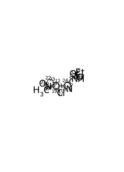 CCS(=O)(=O)NCc1cncc(-c2cc3c(cc2Cl)N(C)C(=O)CC3)c1